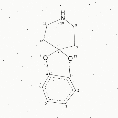 c1ccc2c(c1)OC1(CCNCC1)O2